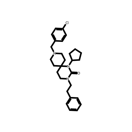 O=C1N(CCc2ccccc2)CCC2(CCN(Cc3ccc(Cl)cc3)CC2)N1C1CCCC1